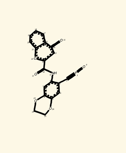 O=P#Cc1cc2c(cc1NC(=O)c1cc(=O)c3ccccc3o1)OCCO2